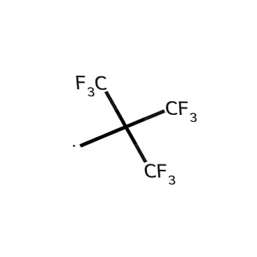 [CH2]C(C(F)(F)F)(C(F)(F)F)C(F)(F)F